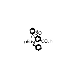 CCCCN(Cc1ccccc1)c1cc(C(=O)O)cc(S(C)(=O)=O)c1OC1=CC=CCC1